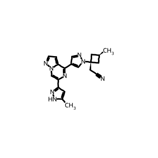 Cc1cc(-c2cn3nccc3c(-c3cnn([C@]4(CC#N)C[C@@H](C)C4)c3)n2)n[nH]1